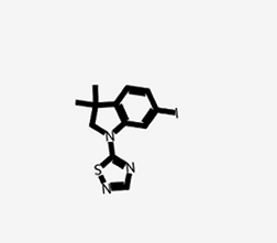 CC1(C)CN(c2ncns2)c2cc(I)ccc21